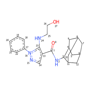 O=C(NC1C2CC3CC(C2)CC1C3)c1cnn(-c2ccccc2)c1NCCO